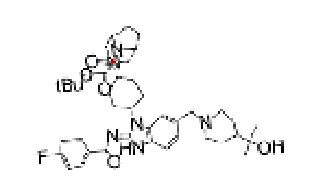 CC(C)(C)OC(=O)N1CC2CCC(C1)N2C(=O)[C@H]1CC[C@@H](n2/c(=N/C(=O)c3ccc(F)cc3)[nH]c3ccc(CN4CCC(C(C)(C)O)CC4)cc32)CC1